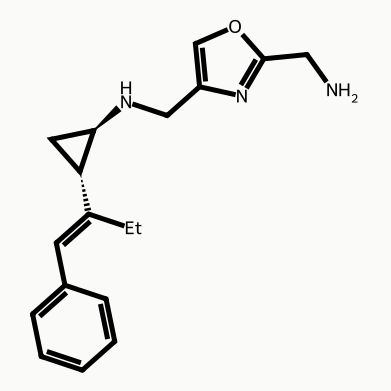 CC/C(=C\c1ccccc1)[C@@H]1C[C@H]1NCc1coc(CN)n1